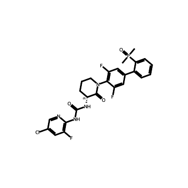 CP(C)(=O)c1ccccc1-c1cc(F)c(N2CCC[C@@H](NC(=O)Nc3ncc(Cl)cc3F)C2=O)c(F)c1